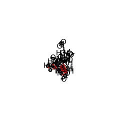 Cc1c(C)c(S(=O)(=O)NC(=N)NCCC[C@H](NC(=O)CNC(=O)[C@H](COC(C)(C)C)NC(=O)[C@H](CC(C)C)NC(=O)CCCCCN2C(=O)C=CC2=O)C(=O)N[C@@H](COC(C)(C)C)C(=O)N[C@@H](CC(=O)OC(C)(C)C)C(=O)N[C@@H](CC(=O)NC(c2ccccc2)(c2ccccc2)c2ccccc2)C(=O)N[C@@H](Cc2cn(C(c3ccccc3)(c3ccccc3)c3ccccc3)cn2)C(=O)NCC(=O)O)c(C)c2c1OC(C)(C)C2